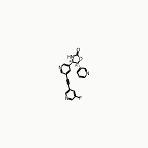 O=C1N[C@H](c2cncc(C#Cc3cncc(F)c3)c2)[C@@H](c2cccnc2)O1